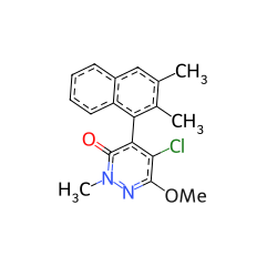 COc1nn(C)c(=O)c(-c2c(C)c(C)cc3ccccc23)c1Cl